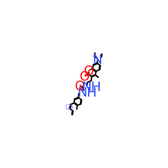 C=C/C=C\c1cc(CNC(=O)NCCc2c(C)c3ccc(N(CC)CC)cc3oc2=O)ccc1C